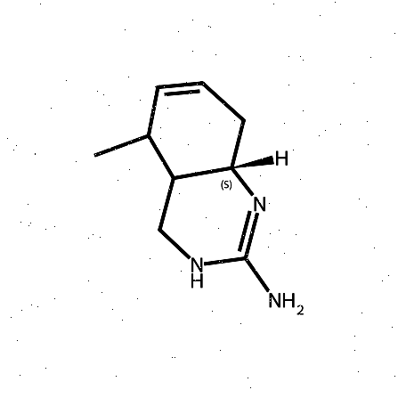 CC1C=CC[C@@H]2N=C(N)NCC12